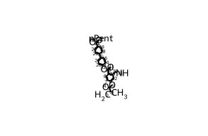 C=C(C)C(=O)Oc1ccc(C(=O)Oc2ccc(-c3ccc(C(=O)OCCCCC)cc3)cc2)c(C=N)c1